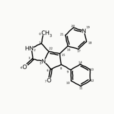 CC1NC(=O)N2C(=O)C(c3ccccc3)C(c3ccncc3)=C12